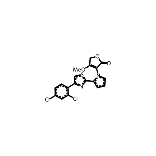 COC1=C(n2cccc2-c2nc(-c3ccc(Cl)cc3Cl)cs2)C(=O)OC1